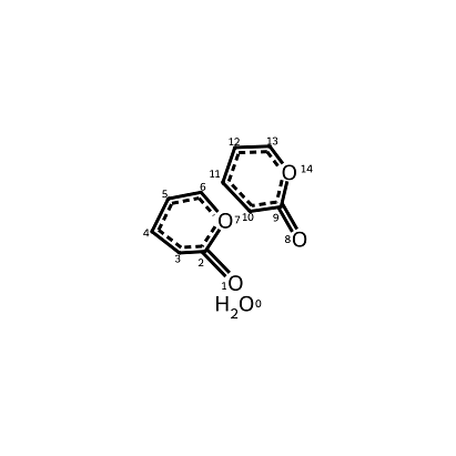 O.O=c1cccco1.O=c1cccco1